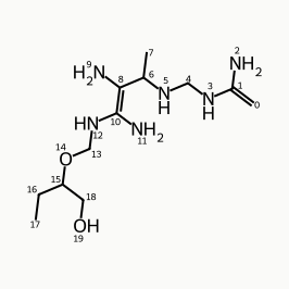 C=C(N)NCNC(C)/C(N)=C(\N)NCOC(CC)CO